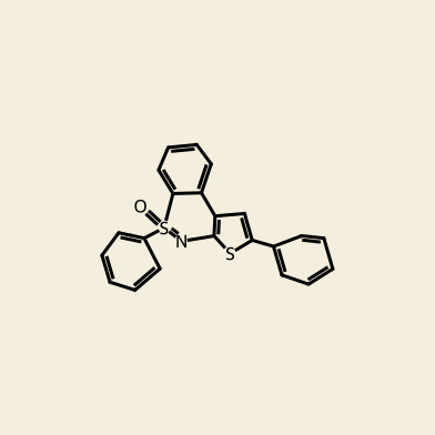 O=S1(c2ccccc2)=Nc2sc(-c3ccccc3)cc2-c2ccccc21